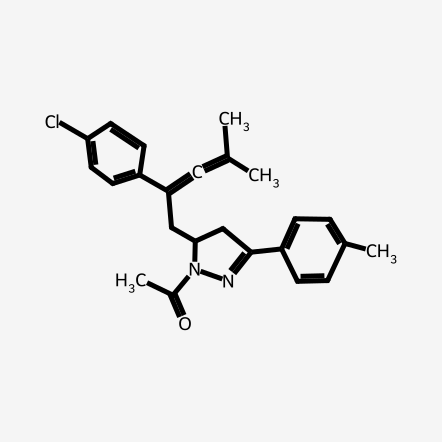 CC(=O)N1N=C(c2ccc(C)cc2)CC1CC(=C=C(C)C)c1ccc(Cl)cc1